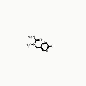 C=C(NC)N(C)Cc1ccc(Cl)nc1